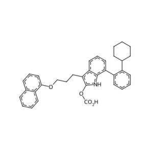 O=C(O)Oc1[nH]c2c(-c3ccccc3C3CCCCC3)cccc2c1CCCOc1cccc2ccccc12